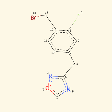 Fc1cc(Cc2ncon2)ccc1CBr